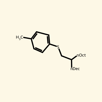 CCCCCCCCCCC(CCCCCCCC)CSc1ccc(C)cc1